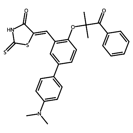 CN(C)c1ccc(-c2ccc(OC(C)(C)C(=O)c3ccccc3)c(C=C3SC(=S)NC3=O)c2)cc1